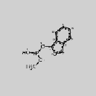 COP(O)Oc1occ2ccccc12